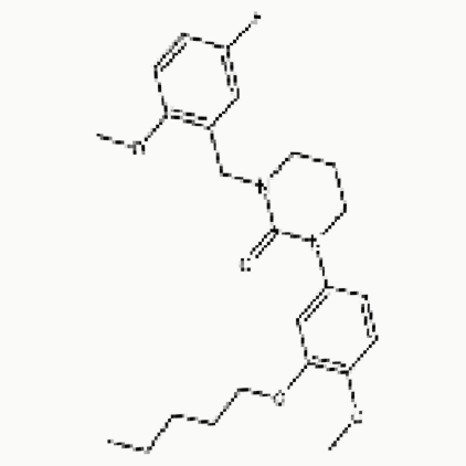 CCCCCOc1cc(N2CCCN(Cc3cc(F)ccc3OC)C2=O)ccc1OC